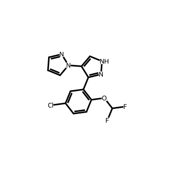 FC(F)Oc1ccc(Cl)cc1-c1n[nH]cc1-n1cccn1